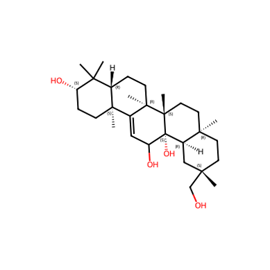 CC1(C)[C@@H](O)CC[C@]2(C)C3=CC(O)[C@]4(O)[C@@H]5C[C@@](C)(CO)CC[C@]5(C)CC[C@@]4(C)[C@]3(C)CC[C@@H]12